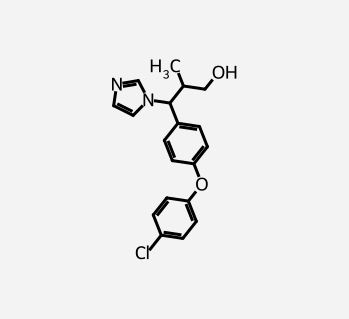 CC(CO)C(c1ccc(Oc2ccc(Cl)cc2)cc1)n1ccnc1